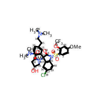 COc1ccc(S(=O)(=O)N2C(=O)C(c3cc(CCN(C)C)ccc3OC)(N3C[C@H](O)C[C@H]3C(=O)N(C)C)c3cc(Cl)ccc32)c(OC(F)(F)F)c1